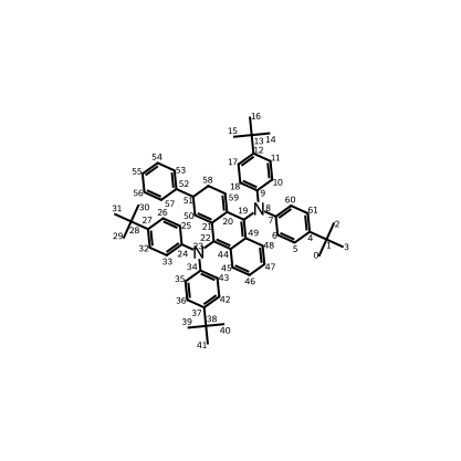 CC(C)(C)c1ccc(N(c2ccc(C(C)(C)C)cc2)c2c3c(c(N(c4ccc(C(C)(C)C)cc4)c4ccc(C(C)(C)C)cc4)c4ccccc24)=CC(c2ccccc2)CC=3)cc1